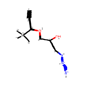 C#CC(OCC(O)CN=[N+]=[N-])[Si](C)(C)C